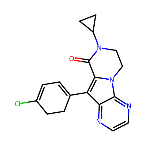 O=C1c2c(C3=CC=C(Cl)CC3)c3nccnc3n2CCN1C1CC1